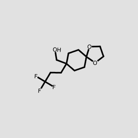 OCC1(CCC(F)(F)F)CCC2(CC1)OCCO2